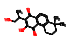 CC(CO)C1=C(O)C(=O)c2c(ccc3c2CCCC3(C)C)C1=O